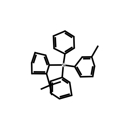 Cc1cccc([Si](c2ccccc2)(c2ccccc2)c2ccccc2C(C)(C)C)c1